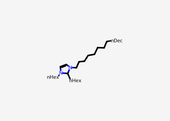 CCCCCCCCCCCCCCCCCCN1C=CN(CCCCCC)C1CCCCCC